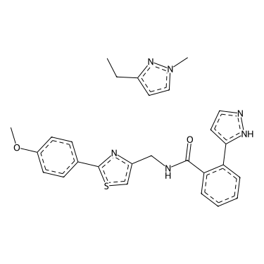 CCc1ccn(C)n1.COc1ccc(-c2nc(CNC(=O)c3ccccc3-c3ccn[nH]3)cs2)cc1